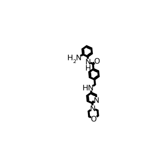 Nc1ccccc1NC(=O)c1ccc(CNc2ccc(N3CCOCC3)nc2)cc1